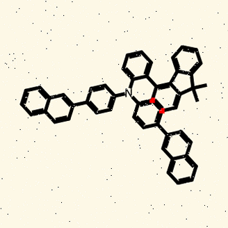 CC1(C)c2ccccc2-c2c(-c3ccccc3N(c3ccc(-c4ccc5ccccc5c4)cc3)c3ccc(-c4ccc5ccccc5c4)cc3)cccc21